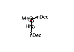 CCCCCCCCCCCCCCCCCC(=O)NCCCCOC(=O)C(CCCCCCCCCCCCCCCC)OC